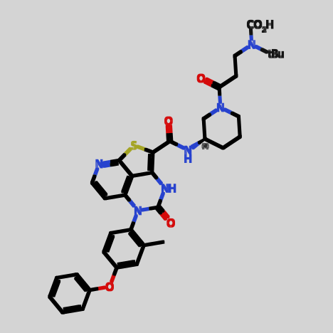 Cc1cc(Oc2ccccc2)ccc1N1C(=O)Nc2c(C(=O)N[C@@H]3CCCN(C(=O)CCN(C(=O)O)C(C)(C)C)C3)sc3nccc1c23